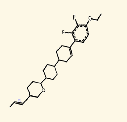 C/C=C/C1CCC(C2CCC(C3CC=C(c4ccc(OCC)c(F)c4F)CC3)CC2)OC1